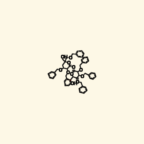 OCC1O[C@H](O[C@H]2OC(CO)(COCc3ccccc3)CC(OCc3ccccc3)C2OCc2ccccc2)C(OCc2ccccc2)C(OCc2ccccc2)[C@@H]1OCc1ccccc1